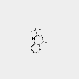 Cc1nc(C(C)(C)C)nc2ccccc12